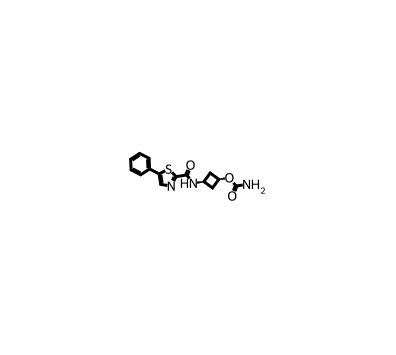 NC(=O)O[C@H]1C[C@@H](NC(=O)c2ncc(-c3ccccc3)s2)C1